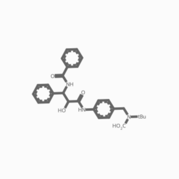 CC(C)(C)N(Cc1ccc(NC(=O)C(O)C(NC(=O)c2ccccc2)c2ccccc2)cc1)C(=O)O